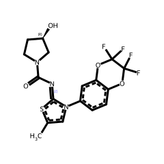 Cc1cn(-c2ccc3c(c2)OC(F)(F)C(F)(F)O3)/c(=N/C(=O)N2CC[C@@H](O)C2)s1